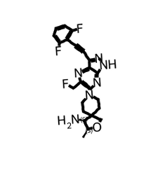 C[C@@H]1OCC2(CCN(c3nc4[nH]nc(C#Cc5c(F)cccc5F)c4nc3CF)CC2)[C@@H]1N